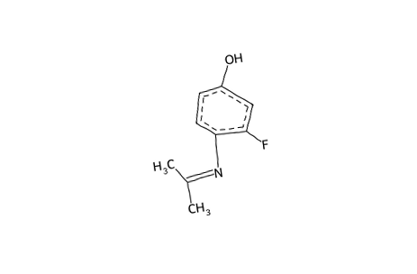 CC(C)=Nc1ccc(O)cc1F